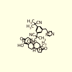 CC(C)(C#N)c1cc(Cn2cncn2)cc(C(C)(C)C#N)c1.C[C@]12CCC(=O)C(O)=C1CC[C@@H]1[C@@H]2CC[C@]2(C)C(=O)CC[C@@H]12